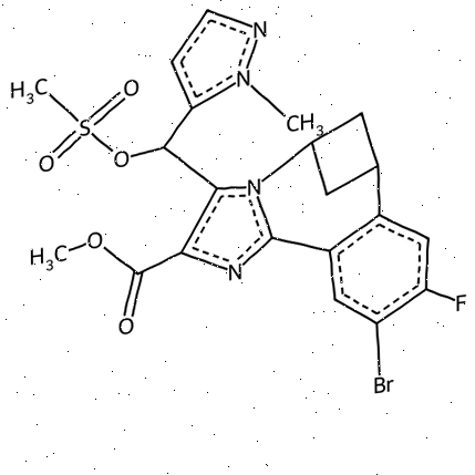 COC(=O)c1nc2n(c1C(OS(C)(=O)=O)c1ccnn1C)C1CC(C1)c1cc(F)c(Br)cc1-2